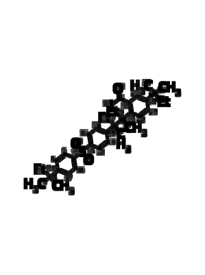 CCC(C)(C)c1ccc(S(=O)(=O)c2ccc(C(C)(CC)C(C)(CC)c3ccc(C(C)(C)CC)cc3C(=O)I)cc2)cc1